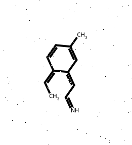 C/C=c1/ccc(C)c/c1=C/C=N